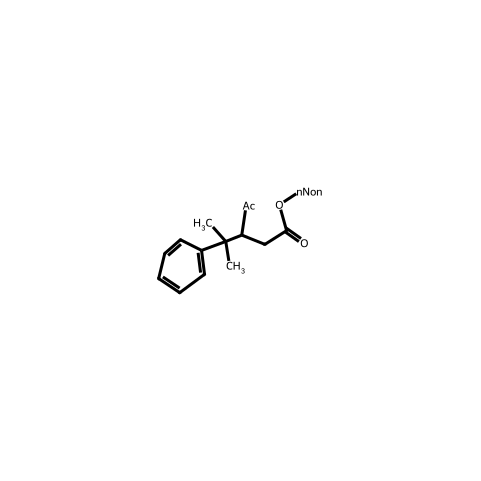 CCCCCCCCCOC(=O)CC(C(C)=O)C(C)(C)c1ccccc1